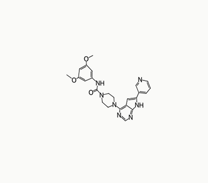 COc1cc(NC(=O)N2CCN(c3ncnc4[nH]c(-c5cccnc5)cc34)CC2)cc(OC)c1